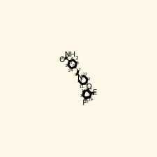 NC(=O)[C@H]1CC[C@H](CCN2CCC(Oc3ccc(F)cc3F)CC2)CC1